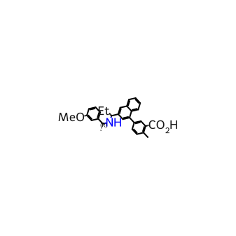 CCC(N[C@H](C)c1cccc(OC)c1)c1cc(-c2ccc(C)c(C(=O)O)c2)c2ccccc2c1